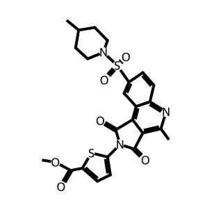 COC(=O)c1ccc(N2C(=O)c3c(C)nc4ccc(S(=O)(=O)N5CCC(C)CC5)cc4c3C2=O)s1